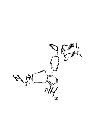 CN1CCc2c(-c3ccc(C(=O)N(C)C)cc3)ccc(N)c2C1